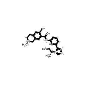 C[C@H](CO)n1cnnc1-c1cccc(NC(=O)c2cc3c(cc2F)CCN(C)C3)n1